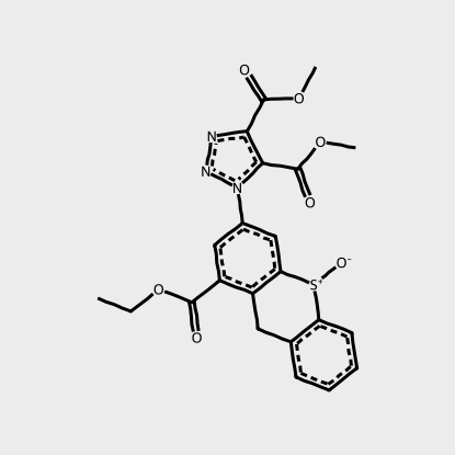 CCOC(=O)c1cc(-n2nnc(C(=O)OC)c2C(=O)OC)cc2c1Cc1ccccc1[S+]2[O-]